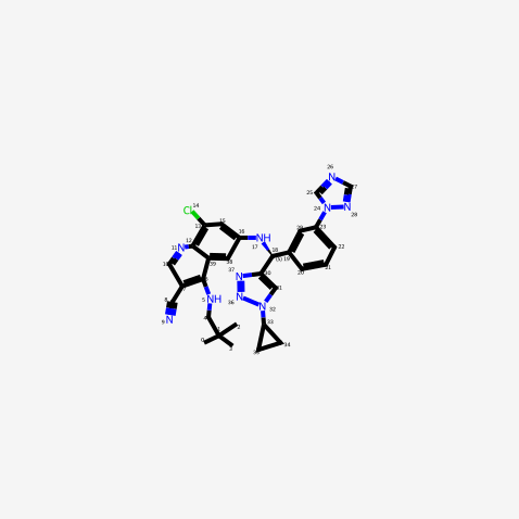 CC(C)(C)CNc1c(C#N)cnc2c(Cl)cc(N[C@@H](c3cccc(-n4cncn4)c3)c3cn(C4CC4)nn3)cc12